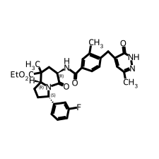 CCOC(=O)C1(C)C[C@@H](NC(=O)c2ccc(Cc3cc(C)n[nH]c3=O)c(C)c2)C(=O)N2[C@H](c3cccc(F)c3)CC[C@@H]21